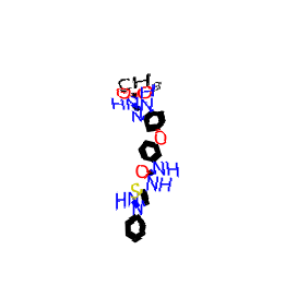 COC(=O)Nc1nc2cc(Oc3cccc(NC(=O)NC4=CN(c5ccccc5)NS4)c3)ccc2[nH]1